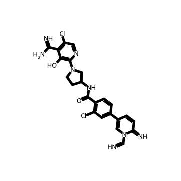 N=Cn1cc(-c2ccc(C(=O)NC3CCN(c4ncc(Cl)c(C(=N)N)c4O)C3)c(Cl)c2)ccc1=N